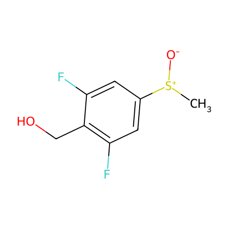 C[S+]([O-])c1cc(F)c(CO)c(F)c1